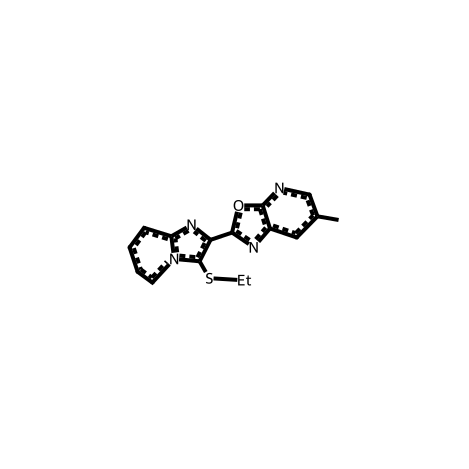 CCSc1c(-c2nc3cc(C)cnc3o2)nc2ccccn12